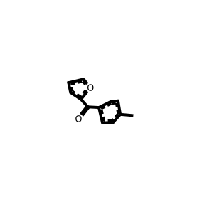 Cc1ccc(C(=O)c2ccco2)cc1